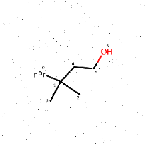 CCCC(C)(C)CCO